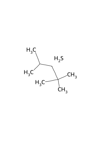 CC(C)CC(C)(C)C.S